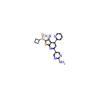 Nc1ncc(-c2cc(-c3ccccn3)c3c(N)c([S+]([O-])C4CCC4)sc3n2)cn1